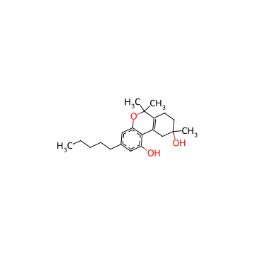 CCCCCc1cc(O)c2c(c1)OC(C)(C)C1=C2CC(C)(O)CC1